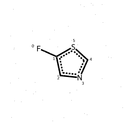 Fc1[c]ncs1